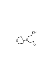 [O]CCN(CCO)C1CCOCC1